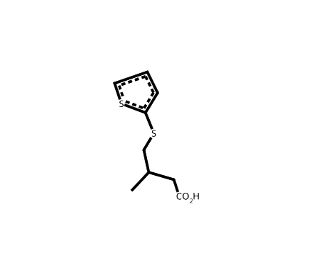 CC(CSc1cccs1)CC(=O)O